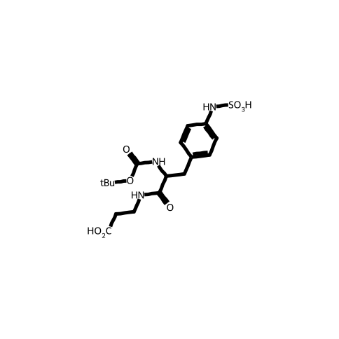 CC(C)(C)OC(=O)NC(Cc1ccc(NS(=O)(=O)O)cc1)C(=O)NCCC(=O)O